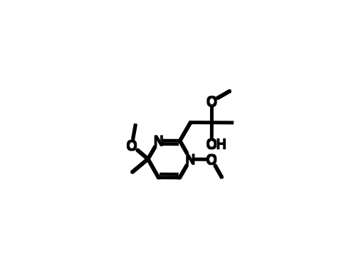 CON1C=CC(C)(OC)N=C1CC(C)(O)OC